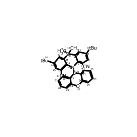 CC(C)(C)c1cc(C#N)c2c(c1)[Si](C)(C)c1cc(C(C)(C)C)cc(C#N)c1N2B1c2ccccc2Oc2ccccc21